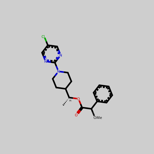 COC(C(=O)O[C@H](C)C1CCN(c2ncc(Cl)cn2)CC1)c1ccccc1